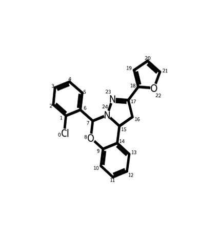 Clc1ccccc1C1Oc2ccccc2C2CC(c3ccco3)=NN21